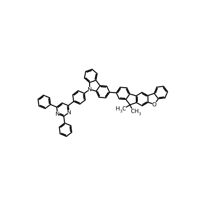 CC1(C)c2cc(-c3ccc4c(c3)c3ccccc3n4-c3ccc(-c4cc(-c5ccccc5)nc(-c5ccccc5)n4)cc3)ccc2-c2cc3c(cc21)oc1ccccc13